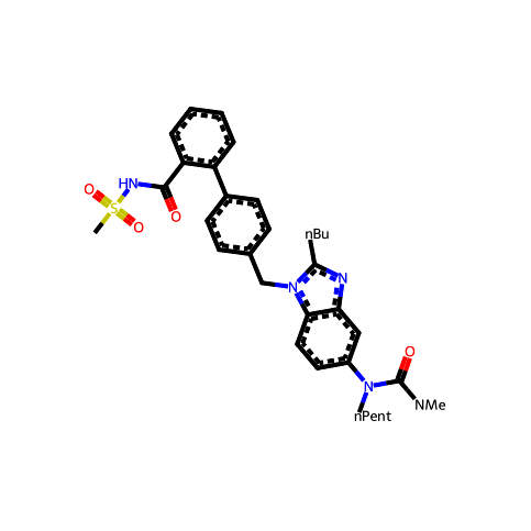 CCCCCN(C(=O)NC)c1ccc2c(c1)nc(CCCC)n2Cc1ccc(-c2ccccc2C(=O)NS(C)(=O)=O)cc1